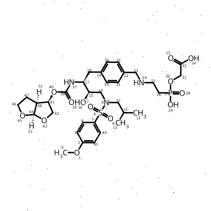 COc1ccc(S(=O)(=O)N(CC(C)C)C[C@@H](O)[C@H](Cc2ccc(CNCCP(=O)(O)OCC(=O)O)cc2)NC(=O)O[C@H]2CO[C@H]3OCC[C@H]32)cc1